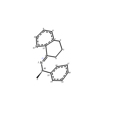 C[C@@H](/N=C1\CCCc2cccnc21)c1ccccc1